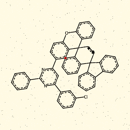 Clc1cccc(-c2cc(-c3ccc4c(c3)C3(c5ccccc5O4)c4ccccc4C4(c5ccccc5-c5ccccc54)c4ccccc43)nc(-c3ccccc3)n2)c1